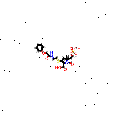 C[C@H](OS(=O)(=O)O)[C@@H]1C(=O)N2C(C(=O)O)=C(SCCNC(=O)COc3ccccc3)C[C@H]12